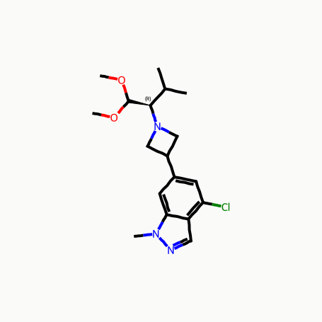 COC(OC)[C@@H](C(C)C)N1CC(c2cc(Cl)c3cnn(C)c3c2)C1